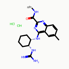 CCCNC(=O)c1nc(N[C@H]2CCCC[C@H]2NC(=N)N)c2cc(C)ccc2n1.Cl.Cl